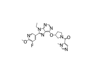 CCn1c(-c2cnc(OC)c(F)c2)nc2c(OC3CCN(C(=O)c4cncn4C)C3)ncnc21